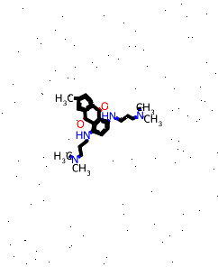 Cc1ccc2c(c1)C(=O)c1c(NCCCN(C)C)ccc(NCCCN(C)C)c1C2=O